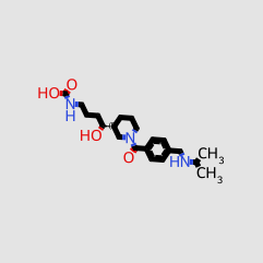 CC(C)NCc1ccc(C(=O)N2CCC[C@@H](C(O)CCCNC(=O)O)C2)cc1